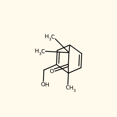 CC12C=CC(C=C1CO)C(C)(C)C2=O